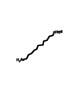 CCCCCCCCCCCCCCCCCC[AsH2]